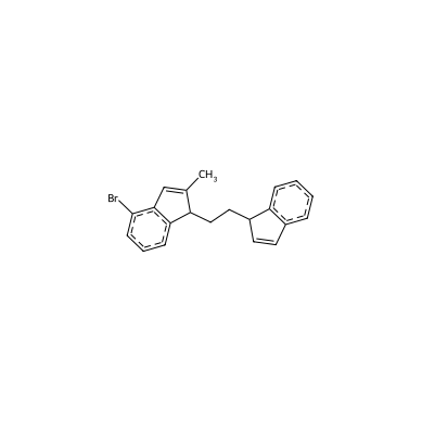 CC1=Cc2c(Br)cccc2C1CCC1C=Cc2ccccc21